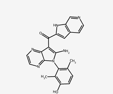 Cc1ccc(O)c(C)c1-n1c(N)c(C(=O)c2cc3ccncc3[nH]2)c2nccnc21